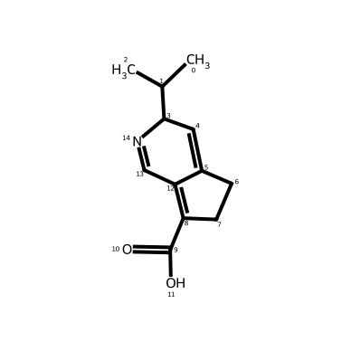 CC(C)C1C=C2CCC(C(=O)O)=C2C=N1